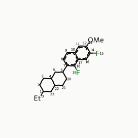 CCC1CCC2CC(c3ccc4cc(OC)c(F)cc4c3F)CCC2C1